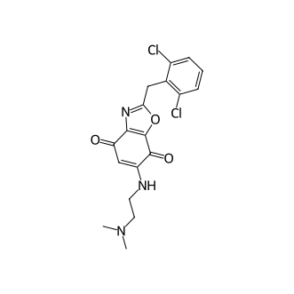 CN(C)CCNC1=CC(=O)c2nc(Cc3c(Cl)cccc3Cl)oc2C1=O